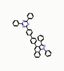 c1ccc(-c2nc(-c3ccccc3)nc(-c3ccc(-c4ccc(-c5cc6ccccc6c6c5c(-c5ccccc5)nn6-c5ccccc5)cc4)cc3)n2)cc1